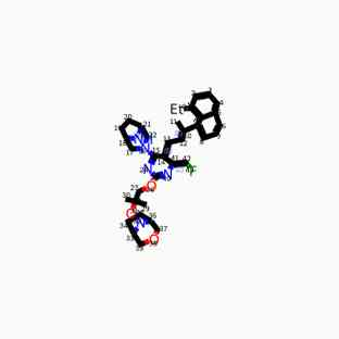 CCc1cccc2cccc(/C(C)=C/C=c3/c(N4CC5CCC(C4)N5)nc(OCC(C)(C)ON4C5CCC4COC5)n/c3=C\F)c12